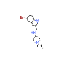 CN1CCC(NCc2cnc3ccc(Br)cc3c2)CC1